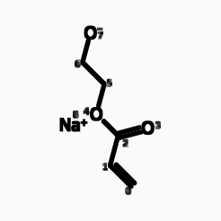 C=CC(=O)OCC[O-].[Na+]